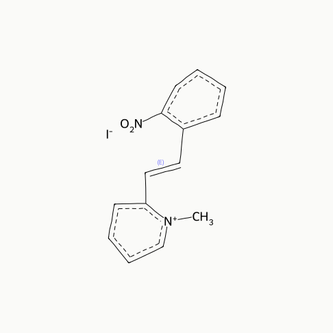 C[n+]1ccccc1/C=C/c1ccccc1[N+](=O)[O-].[I-]